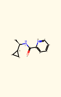 C[C@@H](NC(=O)c1ccccn1)C1CC1